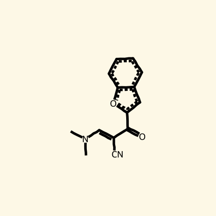 CN(C)C=C(C#N)C(=O)c1cc2ccccc2o1